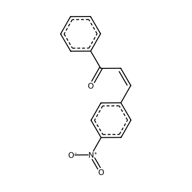 O=C(/C=C\c1ccc([N+](=O)[O-])cc1)c1ccccc1